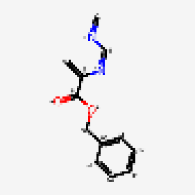 C=N/C=N\C(=C)C(=O)OCc1ccccc1